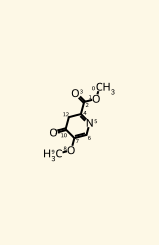 COC(=O)C1=NC=C(OC)C(=O)C1